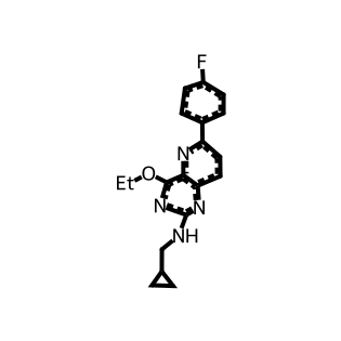 CCOc1nc(NCC2CC2)nc2ccc(-c3ccc(F)cc3)nc12